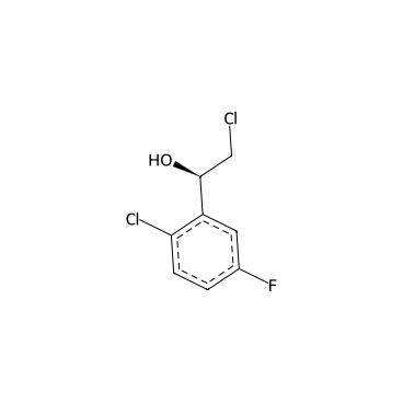 O[C@@H](CCl)c1cc(F)ccc1Cl